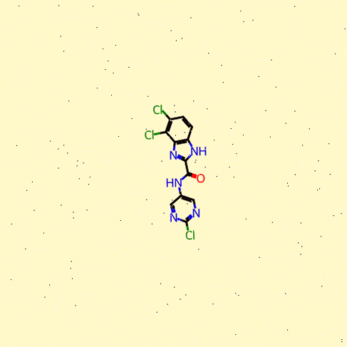 O=C(Nc1cnc(Cl)nc1)c1nc2c(Cl)c(Cl)ccc2[nH]1